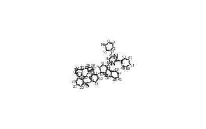 c1ccc(-c2cc(-c3ccc(-c4ccc5c(c4)C4(c6ccccc6S5)c5ccccc5-c5ccccc54)c4sc5ccccc5c34)nc(-c3ccccc3)n2)cc1